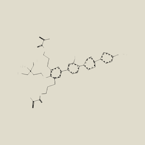 C=C(C)C(=O)OCCCc1cc(-c2ccc(-c3ccc(-c4ccc(CCCCC)cc4)cc3)c(CC)c2)cc(CCCOC(=O)C(=C)C)c1OCCC(CO)(CO)CCCC